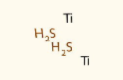 S.S.[Ti].[Ti]